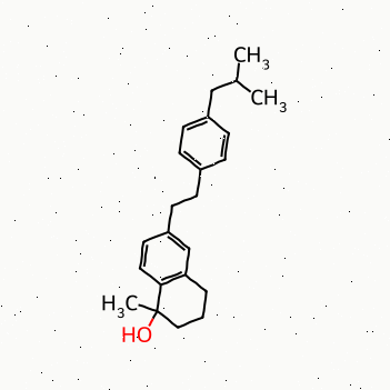 CC(C)Cc1ccc(CCc2ccc3c(c2)CCCC3(C)O)cc1